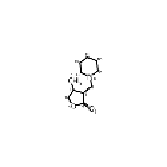 CC1COC(=O)C1CN1CCCCC1